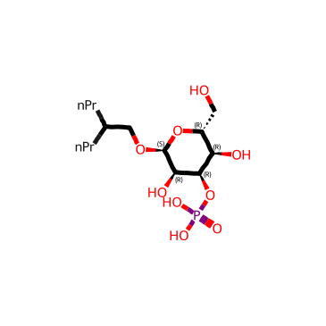 CCCC(CCC)CO[C@H]1O[C@H](CO)[C@@H](O)[C@@H](OP(=O)(O)O)[C@H]1O